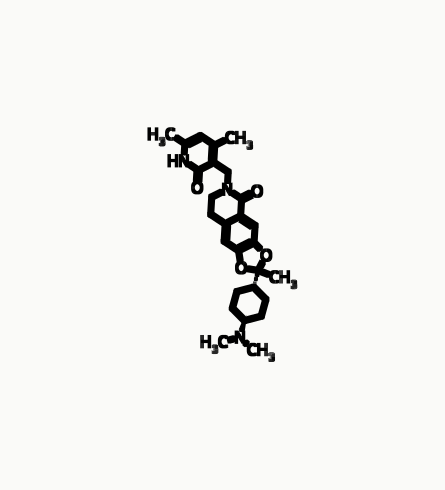 Cc1cc(C)c(CN2CCc3cc4c(cc3C2=O)OC(C)([C@H]2CC[C@H](N(C)C)CC2)O4)c(=O)[nH]1